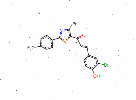 CC(C)c1nc(-c2ccc(C(F)(F)F)cc2)sc1C(=O)/C=C/c1ccc(O)c(Br)c1